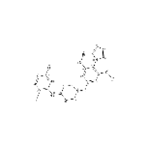 CCOc1cc(CN2CCC(Nc3nc(Cl)ncc3F)CC2)cc(OCC)c1-n1cccc1